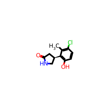 Cc1c(Cl)ccc(O)c1[C@H]1CNC(=O)C1